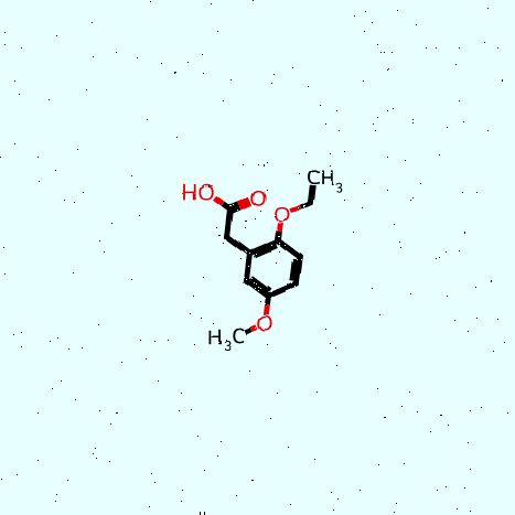 CCOc1ccc(OC)cc1CC(=O)O